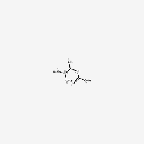 COC(=O)NC(C)[SiH](OC)OC